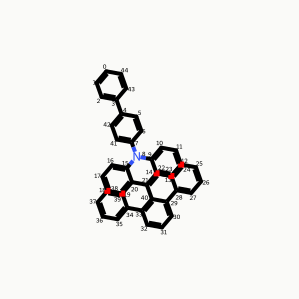 c1ccc(-c2ccc(N(c3ccccc3)c3ccccc3-c3cc4ccccc4c4cccc(-c5ccccc5)c34)cc2)cc1